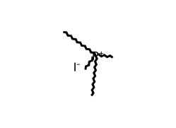 CCCCCCCCCCCCCC[P+](CCCCCC)(CCCCCC)CCCCCCCCCCCCCC.[I-]